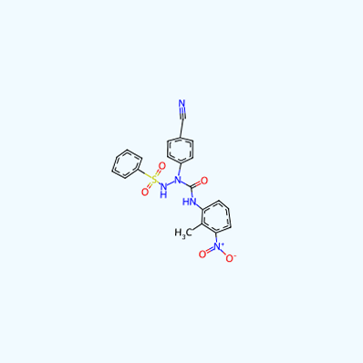 Cc1c(NC(=O)N(NS(=O)(=O)c2ccccc2)c2ccc(C#N)cc2)cccc1[N+](=O)[O-]